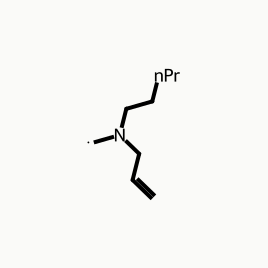 [CH2]N(CC=C)CCCCC